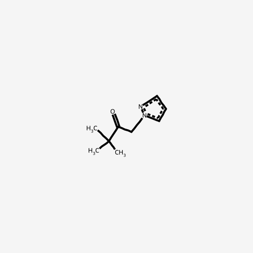 CC(C)(C)C(=O)Cn1cccn1